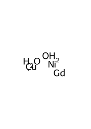 O.O.[Cu].[Gd].[Ni]